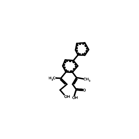 CC(=CCO)c1ccc(-c2ccccc2)cc1C(C)=CC(=O)O